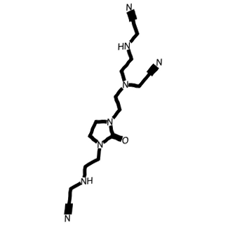 N#CCNCCN(CC#N)CCN1CCN(CCNCC#N)C1=O